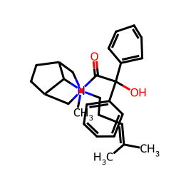 CC(C)=CCCN1CC2CCC(C1)C2N(C)C(=O)C(O)(c1ccccc1)c1ccccc1